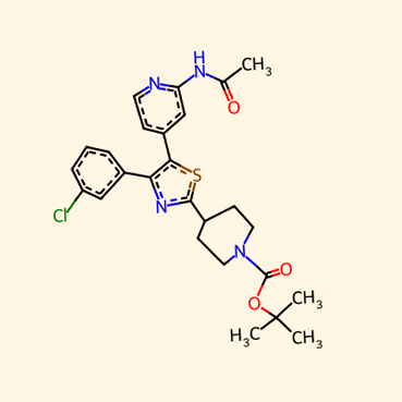 CC(=O)Nc1cc(-c2sc(C3CCN(C(=O)OC(C)(C)C)CC3)nc2-c2cccc(Cl)c2)ccn1